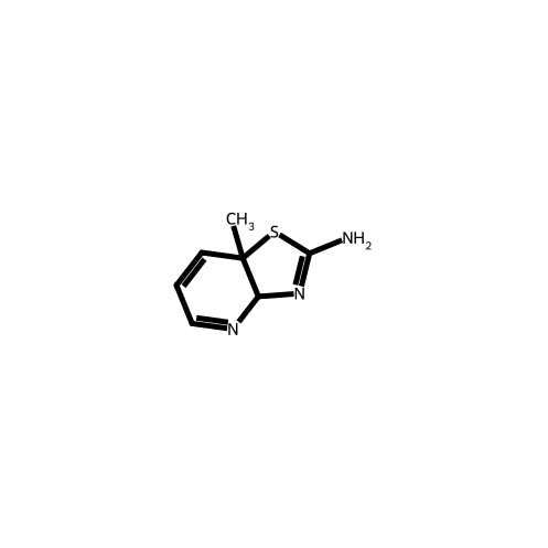 CC12C=CC=NC1N=C(N)S2